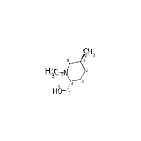 C[C@H]1CC[C@H](CO)N(C)C1